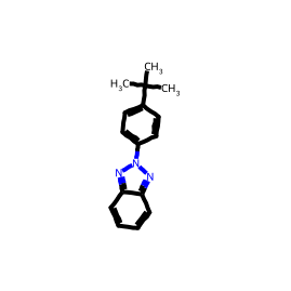 CC(C)(C)c1ccc(-n2nc3ccccc3n2)cc1